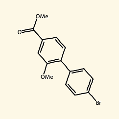 COC(=O)c1ccc(-c2ccc(Br)cc2)c(OC)c1